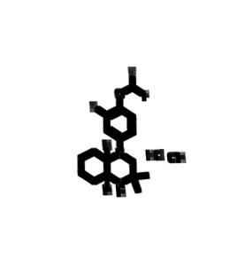 CC1(C)CN(c2ccc(OC(F)F)c(F)c2)[C@H]2CCCC[C@@H]2N1.Cl.Cl